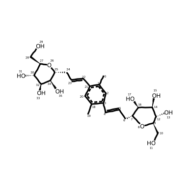 Cc1cc(/C=C/C[C@H]2O[C@H](CO)[C@@H](O)[C@H](O)[C@@H]2O)c(C)cc1/C=C/C[C@H]1O[C@H](CO)[C@@H](O)[C@H](O)[C@@H]1O